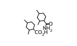 CC1CCC(C(=O)O)C(C)C1.CC1CCC(C(N)=O)C(C)C1